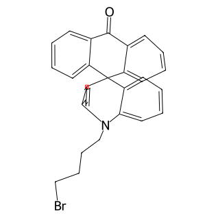 O=C1c2ccccc2C2(c3ccccc31)c1ccccc1N(CCCCBr)c1ccccc12